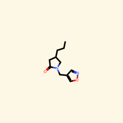 CCCC1CC(=O)N(Cc2cnoc2)C1